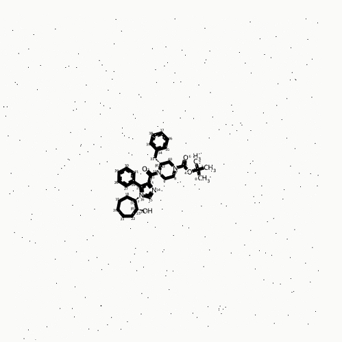 CC(C)(C)OC(=O)N1CCN(C(=O)c2ncn([C@H]3CCCCC[C@H]3O)c2-c2ccccc2)[C@H](Cc2ccccc2)C1